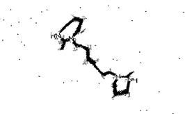 CC1NCCCN1CCCCCCN1CCCNC1C